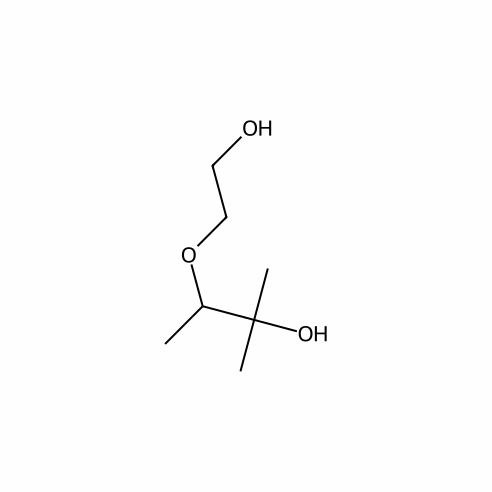 CC(OCCO)C(C)(C)O